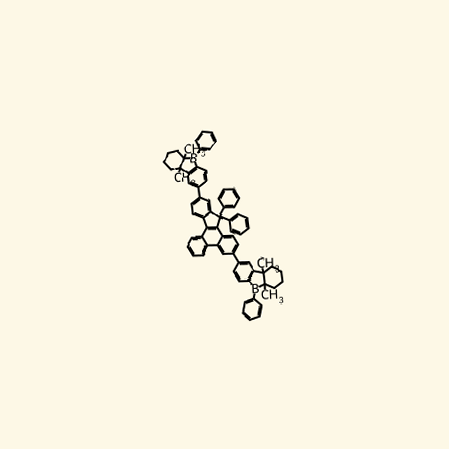 CC12CCCCC1(C)c1cc(-c3ccc4c(c3)C(c3ccccc3)(c3ccccc3)c3c-4c4ccccc4c4cc(-c5ccc6c(c5)C5(C)CCCCC5(C)B6c5ccccc5)ccc34)ccc1B2c1ccccc1